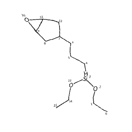 CCO[SiH](CCCC1CC2OC2C1)OCC